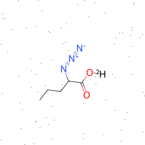 [2H]OC(=O)C(CCC)N=[N+]=[N-]